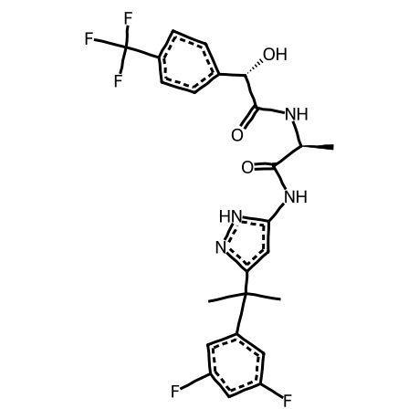 C[C@H](NC(=O)[C@@H](O)c1ccc(C(F)(F)F)cc1)C(=O)Nc1cc(C(C)(C)c2cc(F)cc(F)c2)n[nH]1